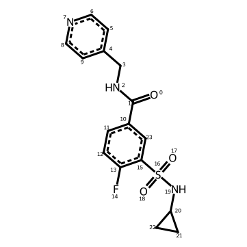 O=C(NCc1ccncc1)c1ccc(F)c(S(=O)(=O)NC2CC2)c1